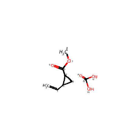 C=CC1CC1C(=O)OC.O=C(O)O